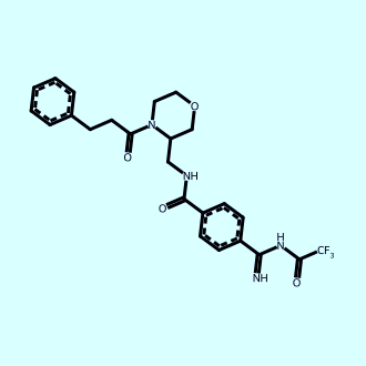 N=C(NC(=O)C(F)(F)F)c1ccc(C(=O)NCC2COCCN2C(=O)CCc2ccccc2)cc1